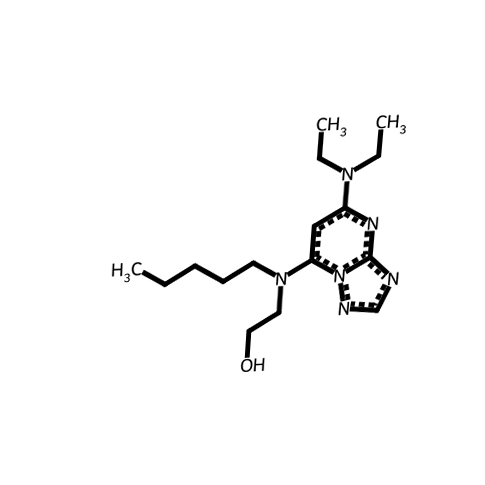 CCCCCN(CCO)c1cc(N(CC)CC)nc2ncnn12